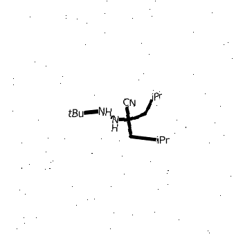 CC(C)CC(C#N)(CC(C)C)NNC(C)(C)C